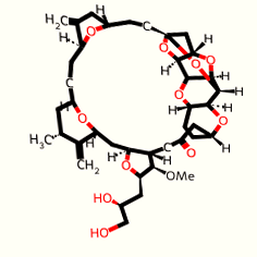 C=C1C[C@@H]2CC[C@@]34C[C@@H]5O[C@@H]6C(O[C@H]7CC[C@H](CC(=O)C[C@@H]8[C@@H](OC)[C@@H](C[C@H](O)CO)O[C@H]8C[C@H]8O[C@@H](CC[C@@H]1O2)C[C@@H](C)C8=C)O[C@@H]7[C@@H]6O3)[C@H]5O4